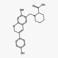 O=C(O)C1CCCCN1Cc1cc2c(cc1O)OCC(c1ccc(O)cc1)=C2